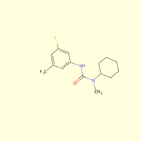 CN(C(=O)Nc1cc(F)cc(C(F)(F)F)c1)C1CCCCC1